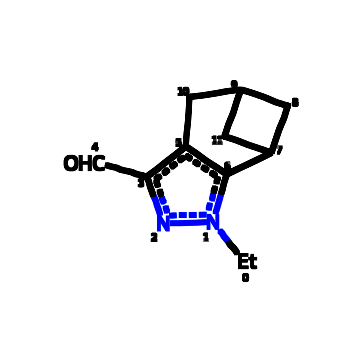 CCn1nc(C=O)c2c1C1CC(C2)C1